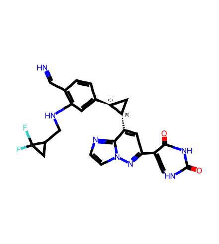 N=Cc1ccc([C@H]2C[C@@H]2c2cc(-c3c[nH]c(=O)[nH]c3=O)nn3ccnc23)cc1NCC1CC1(F)F